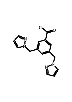 O=C(Cl)c1cc(Cn2cccn2)cc(Cn2cccn2)c1